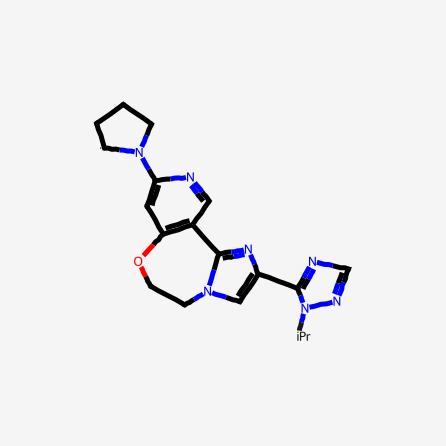 CC(C)n1ncnc1-c1cn2c(n1)-c1cnc(N3[CH]CCC3)cc1OCC2